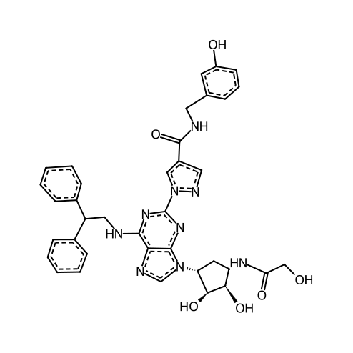 O=C(CO)N[C@H]1C[C@@H](n2cnc3c(NCC(c4ccccc4)c4ccccc4)nc(-n4cc(C(=O)NCc5cccc(O)c5)cn4)nc32)[C@H](O)[C@@H]1O